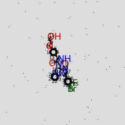 O=C1N[C@H](c2ccc(OCCO)cc2)C(=O)N1[C@@H](Cc1ccccc1)c1ncc(-c2ccc(Br)c(F)c2)[nH]1